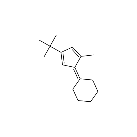 CC1=CC(C(C)(C)C)=CC1=C1CCCCC1